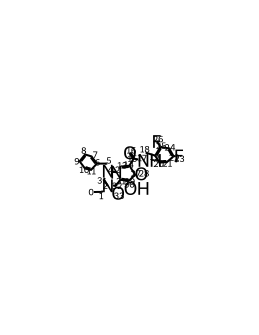 CCN1CN(Cc2ccccc2)n2cc(C(=O)NCc3ccc(F)cc3F)c(=O)c(O)c2C1=O